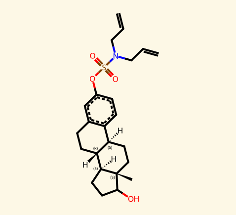 C=CCN(CC=C)S(=O)(=O)Oc1ccc2c(c1)CC[C@@H]1[C@@H]2CC[C@]2(C)C(O)CC[C@@H]12